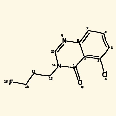 O=c1c2c(Cl)cccc2ncn1CCCF